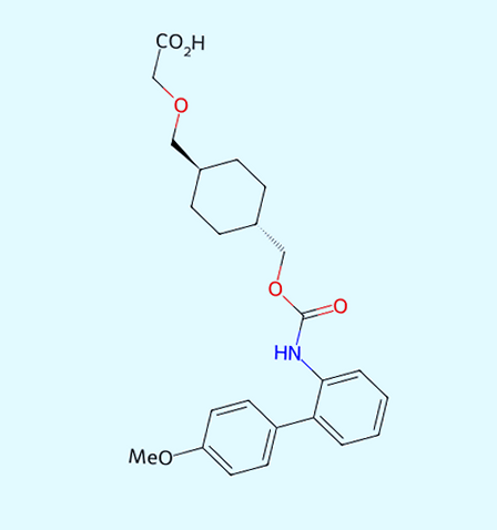 COc1ccc(-c2ccccc2NC(=O)OC[C@H]2CC[C@H](COCC(=O)O)CC2)cc1